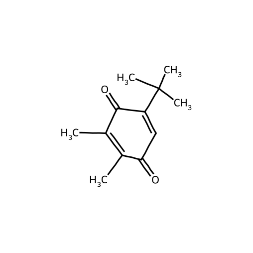 CC1=C(C)C(=O)C(C(C)(C)C)=CC1=O